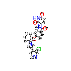 O=C1CCC(N2Cc3cc(O[C@H]4CCCCC4N4CC(c5ccncc5Cl)C4)ccc3C2=O)C(=O)N1